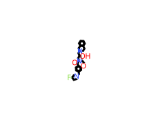 O=C1c2ccc(CN3CCC(F)C3)cc2OCCN1C[C@H](O)CN1CCc2ccccc2C1